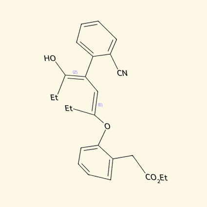 CCOC(=O)Cc1ccccc1O/C(=C/C(=C(/O)CC)c1ccccc1C#N)CC